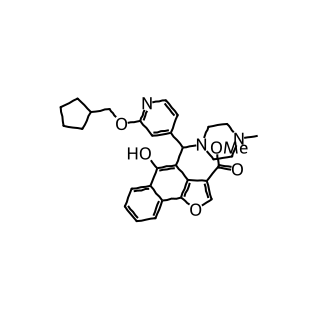 COC(=O)c1coc2c1c(C(c1ccnc(OCC3CCCC3)c1)N1CCN(C)CC1)c(O)c1ccccc12